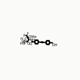 COC(C)(C(F)F)[C@H](NC(=O)c1ccc(C#Cc2ccc(CO)cc2)cc1)C(=O)NO